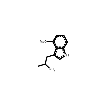 COc1cccc2[nH]cc(CC(C)N)c12